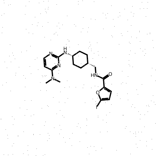 CN(C)c1ccnc(N[C@H]2CC[C@@H](CNC(=O)c3ccc(I)o3)CC2)n1